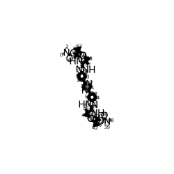 CN(C)C(=O)OC(C)(C(=O)N[C@H](c1nc2ccc(-c3cnc(-c4ccc5nc([C@@H](NC(=O)[C@](C)(OC(=O)N(C)C)C6(C)CC6)C6(C)CC6)[nH]c5c4)cn3)cc2[nH]1)C1(C)CC1)C1(C)CC1